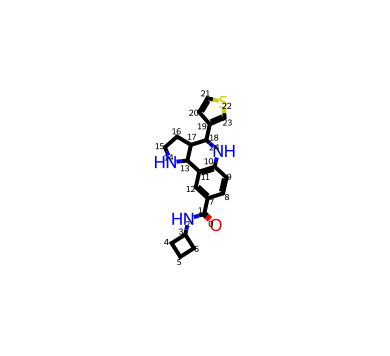 O=C(NC1CCC1)c1ccc2c(c1)C1NCCC1C(c1ccsc1)N2